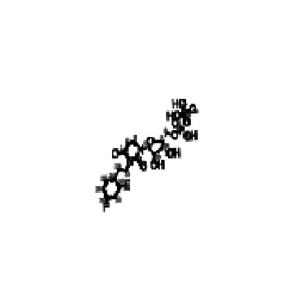 O=c1ccn([C@@H]2O[C@H](COP(=O)(O)OP(=O)(O)O)[C@H](O)C2O)c(=O)n1CCc1ccc(F)cc1F